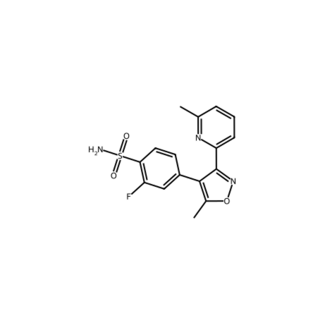 Cc1cccc(-c2noc(C)c2-c2ccc(S(N)(=O)=O)c(F)c2)n1